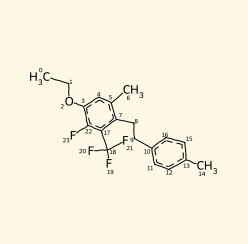 CCOc1cc(C)c(CCc2ccc(C)cc2)c(C(F)(F)F)c1F